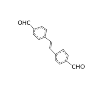 O=Cc1ccc(C=Cc2ccc(C=O)cc2)cc1